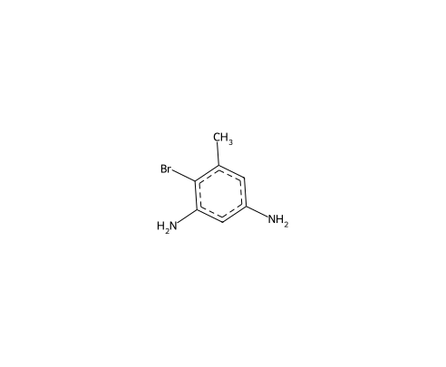 Cc1cc(N)cc(N)c1Br